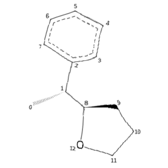 C[C@H](c1ccccc1)[C@H]1CCCO1